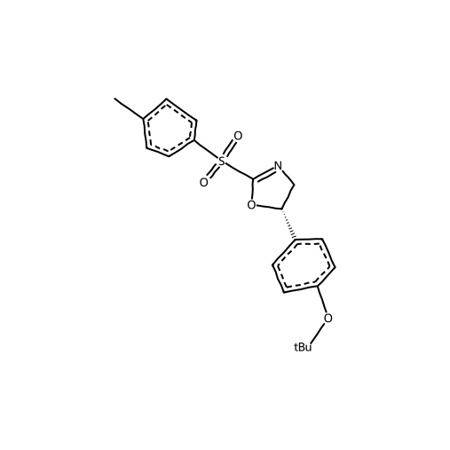 Cc1ccc(S(=O)(=O)C2=NC[C@H](c3ccc(OC(C)(C)C)cc3)O2)cc1